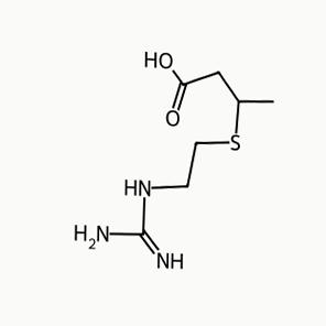 CC(CC(=O)O)SCCNC(=N)N